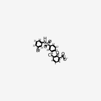 O=[N+]([O-])c1cccc(Cl)c1Oc1ccc(S(=O)(=O)Nc2cccc(Br)c2)cc1